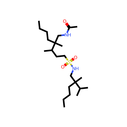 CCCCC(C)(CNS(=O)(=O)CCC(C)C(C)(CCCC)CNC(C)=O)C(C)C